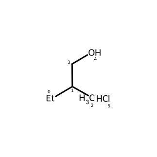 CCC(C)CO.Cl